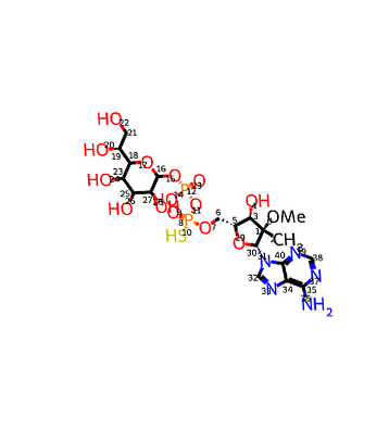 CO[C@]1(C)[C@H](O)[C@@H](COP(=O)(S)OP(=O)(O)OC2OC([C@@H](O)CO)C(O)C(O)C2O)O[C@H]1n1cnc2c(N)ncnc21